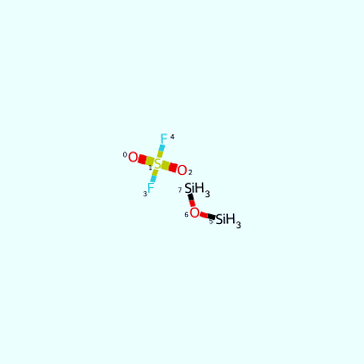 O=S(=O)(F)F.[SiH3]O[SiH3]